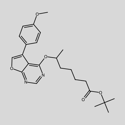 COc1ccc(-c2coc3ncnc(OC(C)CCCCC(=O)OC(C)(C)C)c23)cc1